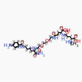 CNC(CCC(=O)NC(CCC(=O)NCCOCCOCC(=O)NC(CCCCNC(=O)c1ccc(N)cc1)C(N)=O)C(=O)O)C(=O)O